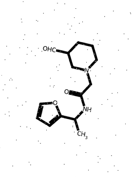 CC(NC(=O)CN1CCCC(C=O)C1)c1ccco1